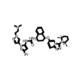 CC(C)c1cc(NC(=O)N[C@H]2CC[C@@H](Oc3ccc4nnc(N5[C@H](C)CCC[C@@H]5C)n4c3)c3ccccc32)n(-c2cnn(CCN(C)C)c2)n1